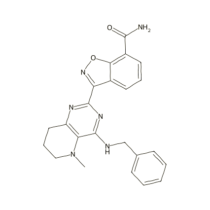 CN1CCCc2nc(-c3noc4c(C(N)=O)cccc34)nc(NCc3ccccc3)c21